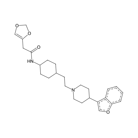 O=C(CC1=COCO1)NC1CCC(CCN2CCC(c3coc4ccccc34)CC2)CC1